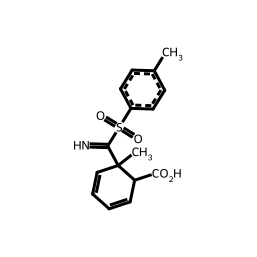 Cc1ccc(S(=O)(=O)C(=N)C2(C)C=CC=CC2C(=O)O)cc1